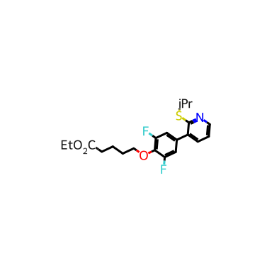 CCOC(=O)CCCCOc1c(F)cc(-c2cccnc2SC(C)C)cc1F